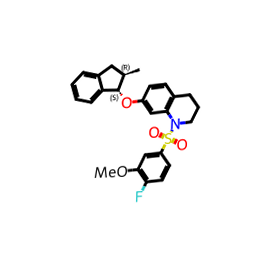 COc1cc(S(=O)(=O)N2CCCc3ccc(O[C@@H]4c5ccccc5C[C@H]4C)cc32)ccc1F